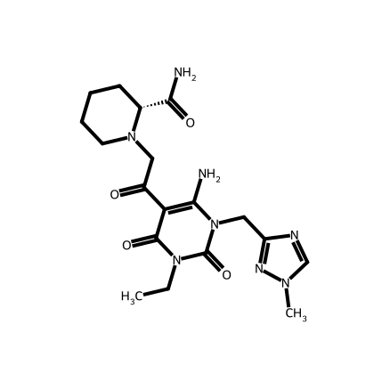 CCn1c(=O)c(C(=O)CN2CCCC[C@@H]2C(N)=O)c(N)n(Cc2ncn(C)n2)c1=O